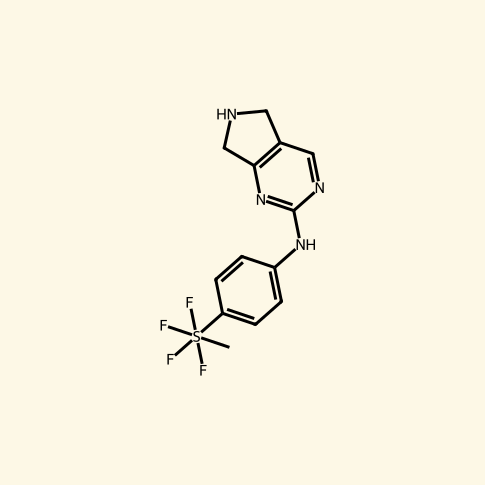 CS(F)(F)(F)(F)c1ccc(Nc2ncc3c(n2)CNC3)cc1